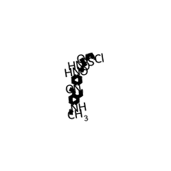 CCNc1ccc2c(=O)n(-c3ccc(NC(=O)NS(=O)(=O)c4ccc(Cl)s4)cc3)ccc2c1